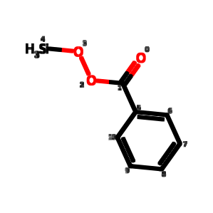 O=C(OO[SiH3])c1ccccc1